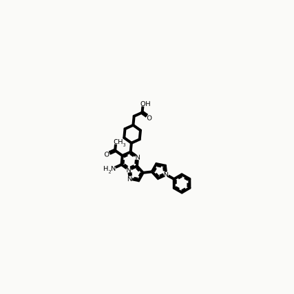 CC(=O)c1c(C2CCC(CC(=O)O)CC2)nc2c(-c3ccn(-c4ccccc4)c3)cnn2c1N